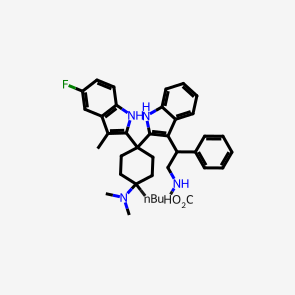 CCCCC1(N(C)C)CCC(c2[nH]c3ccc(F)cc3c2C)(c2[nH]c3ccccc3c2C(CNC(=O)O)c2ccccc2)CC1